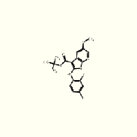 COc1cnc2sc(Nc3ccc(I)cc3F)c(C(=O)OC(C)(C)C)c2c1